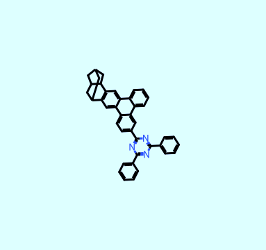 c1ccc(-c2nc(-c3ccccc3)nc(-c3ccc4c(c3)c3ccccc3c3cc5c(cc43)C3CC4CC(C3)C5C4)n2)cc1